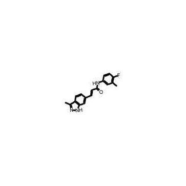 Cc1cc(NC(=O)/C=C/c2ccc3c(C)n[nH]c3c2)ccc1F